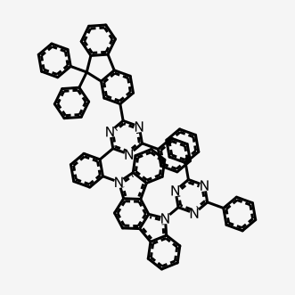 c1ccc(-c2nc(-c3ccc4c(c3)C(c3ccccc3)(c3ccccc3)c3ccccc3-4)nc(-c3ccccc3-n3c4ccccc4c4c3ccc3c5ccccc5n(-c5nc(-c6ccccc6)nc(-c6ccccc6)n5)c34)n2)cc1